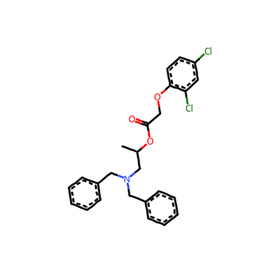 CC(CN(Cc1ccccc1)Cc1ccccc1)OC(=O)COc1ccc(Cl)cc1Cl